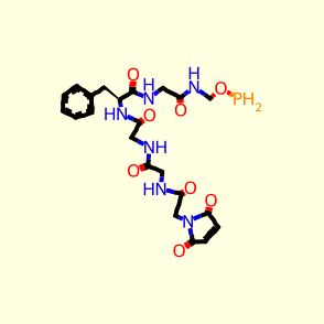 O=C(CNC(=O)CN1C(=O)C=CC1=O)NCC(=O)N[C@@H](Cc1ccccc1)C(=O)NCC(=O)NCOP